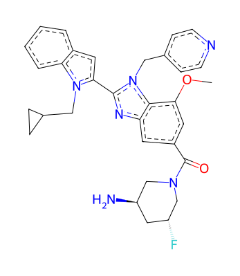 COc1cc(C(=O)N2C[C@H](N)C[C@@H](F)C2)cc2nc(-c3cc4ccccc4n3CC3CC3)n(Cc3ccncc3)c12